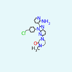 CN1CCCN(c2ccc3nc(-c4cccnc4N)n(-c4ccc(CCl)cc4)c3n2)CC1=O